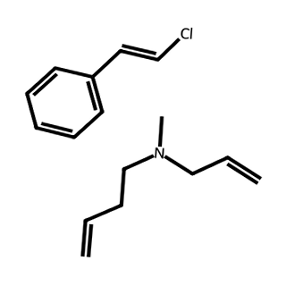 C=CCCN(C)CC=C.ClC=Cc1ccccc1